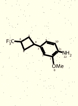 COc1cc(C2CC(C(F)(F)F)C2)ccc1N